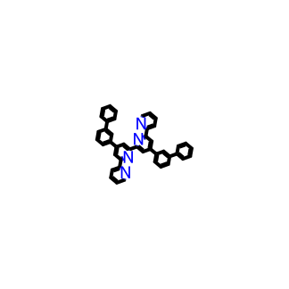 c1ccc(-c2cccc(-c3cc(-c4ccccn4)nc(-c4cc(-c5cccc(-c6ccccc6)c5)cc(-c5ccccn5)n4)c3)c2)cc1